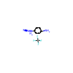 F[B-](F)(F)F.N#[NH+].Nc1ccc(N)cc1